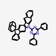 c1ccc(-c2nc(-c3ccccc3)nc(-n3c4cc5c(cc4c4cc6ccccc6cc43)C3(c4ccccc4-5)C4CC5CC(C4)CC3C5)n2)cc1